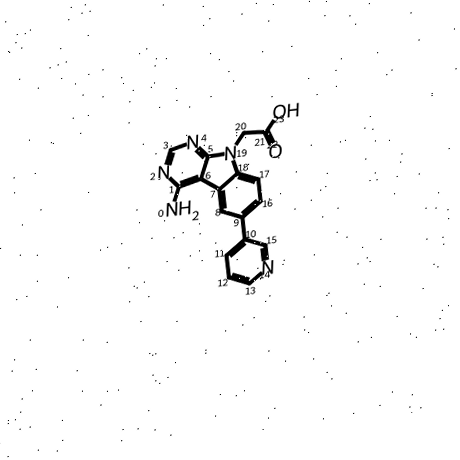 Nc1ncnc2c1c1cc(-c3cccnc3)ccc1n2CC(=O)O